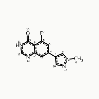 Cn1cc(-c2cc(F)c3c(=O)[nH]cnc3c2)cn1